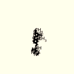 COc1cc(C(F)(F)F)cc(Oc2ccc(CCNc3ncnc4nccnc34)cc2OC)n1